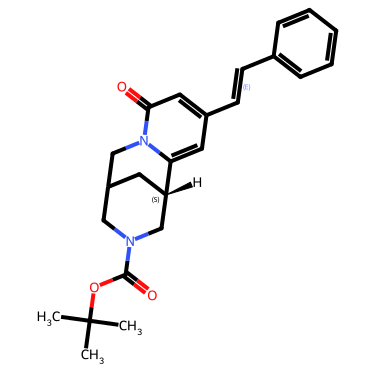 CC(C)(C)OC(=O)N1CC2C[C@@H](C1)c1cc(/C=C/c3ccccc3)cc(=O)n1C2